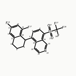 O=S(=O)(c1ccc(C2CCCc3cc(F)cc(F)c32)c2ccncc12)C(F)(F)F